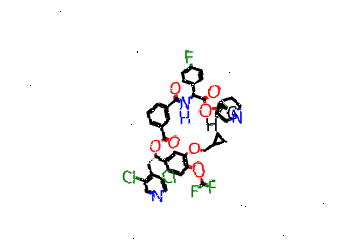 O=C(NC(C(=O)O[C@H]1CN2CCC1CC2)c1ccc(F)cc1)c1cccc(C(=O)O[C@@H](Cc2c(Cl)cncc2Cl)c2ccc(OC(F)F)c(OCC3CC3)c2)c1